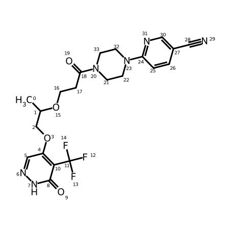 CC(COc1cn[nH]c(=O)c1C(F)(F)F)OCCC(=O)N1CCN(c2ccc(C#N)cn2)CC1